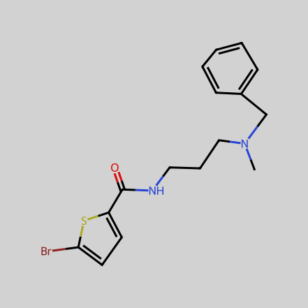 CN(CCCNC(=O)c1ccc(Br)s1)Cc1ccccc1